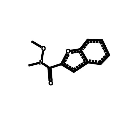 CON(C)C(=O)c1cc2ccccc2o1